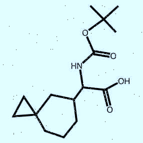 CC(C)(C)OC(=O)NC(C(=O)O)C1CCCC2(CC2)C1